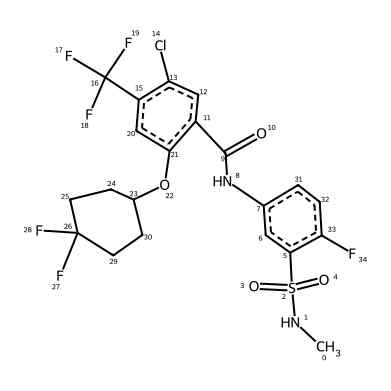 CNS(=O)(=O)c1cc(NC(=O)c2cc(Cl)c(C(F)(F)F)cc2OC2CCC(F)(F)CC2)ccc1F